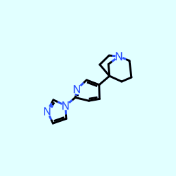 c1cn(-c2ccc(C34CCCN(CC3)C4)cn2)cn1